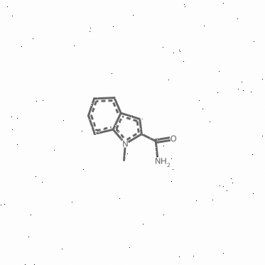 Cn1c(C(N)=O)[c]c2ccccc21